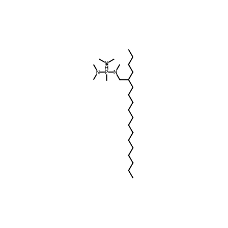 CCCCCCCCCCCCCC(CCCC)CN(C)[PH](C)(N(C)C)N(C)C